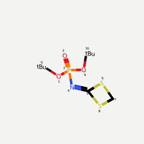 CC(C)(C)OP(=O)(N=C1SCS1)OC(C)(C)C